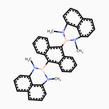 CN1B(c2c3ccccc3c(B3N(C)c4cccc5cccc(c45)N3C)c3ccccc23)N(C)c2cccc3cccc1c23